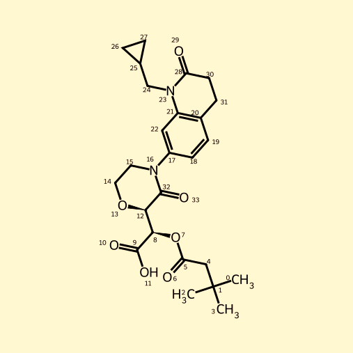 CC(C)(C)CC(=O)O[C@@H](C(=O)O)[C@H]1OCCN(c2ccc3c(c2)N(CC2CC2)C(=O)CC3)C1=O